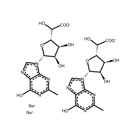 Cc1nc(O)c2ncn([C@@H]3O[C@H](C(O)C(=O)[O-])[C@@H](O)[C@H]3O)c2n1.Cc1nc(O)c2ncn([C@@H]3O[C@H](C(O)C(=O)[O-])[C@@H](O)[C@H]3O)c2n1.[Na+].[Na+]